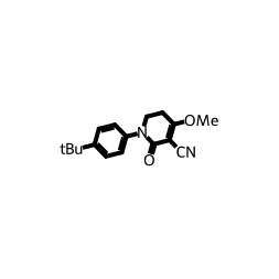 COC1=C(C#N)C(=O)N(c2ccc(C(C)(C)C)cc2)CC1